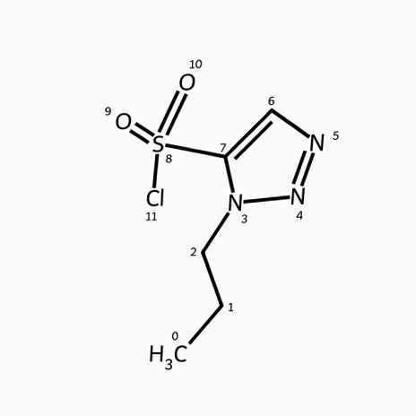 CCCn1nncc1S(=O)(=O)Cl